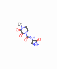 CCN1CCN(C(=O)NC2CNC2=O)C(=O)C1=O